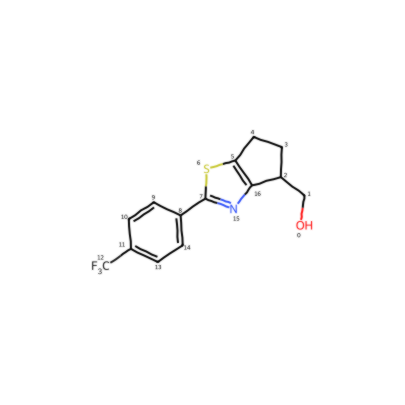 OCC1CCc2sc(-c3ccc(C(F)(F)F)cc3)nc21